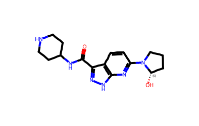 O=C(NC1CCNCC1)c1n[nH]c2nc(N3CCC[C@@H]3O)ccc12